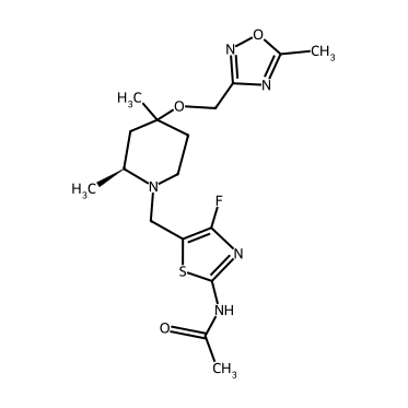 CC(=O)Nc1nc(F)c(CN2CCC(C)(OCc3noc(C)n3)C[C@@H]2C)s1